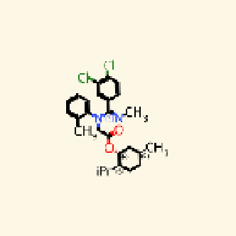 C/N=C(\c1ccc(Cl)c(Cl)c1)N(CC(=O)O[C@@H]1C[C@H](C)CC[C@H]1C(C)C)c1ccccc1C